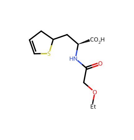 CCOCC(=O)N[C@@H](CC1CC=CS1)C(=O)O